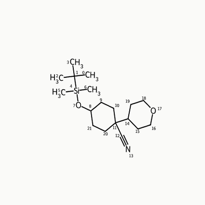 CC(C)(C)[Si](C)(C)OC1CCC(C#N)(C2CCOCC2)CC1